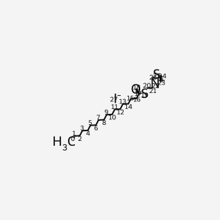 CCCCCCCCCCCCCCCCCC(=O)SCC[n+]1ccsc1.[I-]